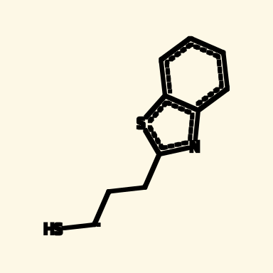 S[CH]CCc1nc2ccccc2s1